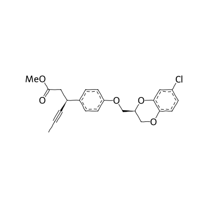 CC#C[C@@H](CC(=O)OC)c1ccc(OC[C@@H]2COc3ccc(Cl)cc3O2)cc1